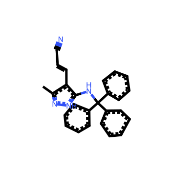 Cc1n[nH]c(NC(c2ccccc2)(c2ccccc2)c2ccccc2)c1C=CC#N